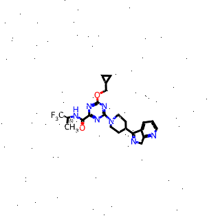 C[C@H](NC(=O)c1nc(OCC2CC2)nc(N2CCC(C3=NCc4ncccc43)CC2)n1)C(F)(F)F